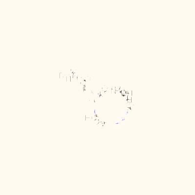 COC1C(=O)[C@H](C)CC(C)/C=C/C=C/C=C(\C)[C@@H](OC)C[C@@H]2CC[C@@H](C)[C@@](O)(O2)C(=O)C(=O)N2CCCCC2C(=O)O[C@H]([C@@H](C)C[C@@H]2CC[C@@H](OC(=O)C(C)(CO)COC(=O)C(C)(C)Br)[C@H](OC)C2)CC(=O)C(C)/C=C(\C)[C@H]1O